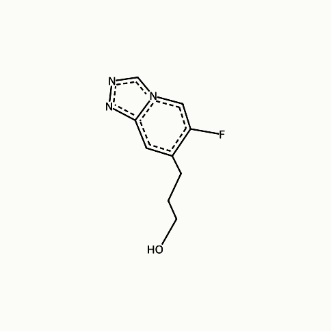 OCCCc1cc2nncn2cc1F